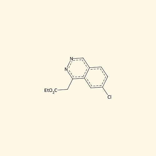 CCOC(=O)Cc1nncc2ccc(Cl)cc12